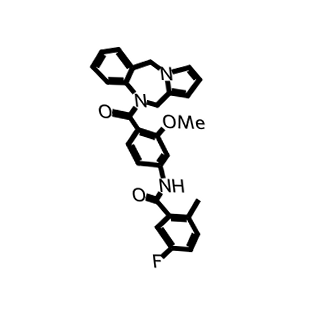 COc1cc(NC(=O)c2cc(F)ccc2C)ccc1C(=O)N1Cc2cccn2Cc2ccccc21